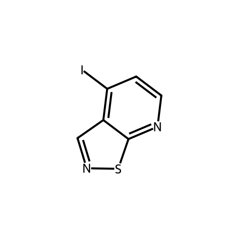 Ic1ccnc2sncc12